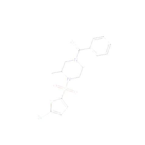 CC1CN(C(=O)c2ccccc2)CCN1S(=O)(=O)c1ccc(Br)s1